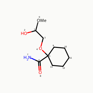 COC(O)COC1(C(N)=O)CCCCC1